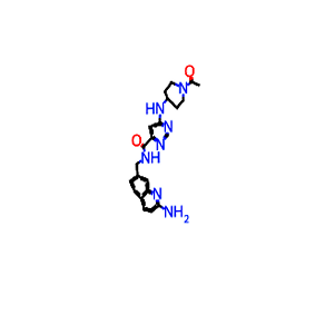 CC(=O)N1CCC(Nc2cc(C(=O)NCc3ccc4ccc(N)nc4c3)ncn2)CC1